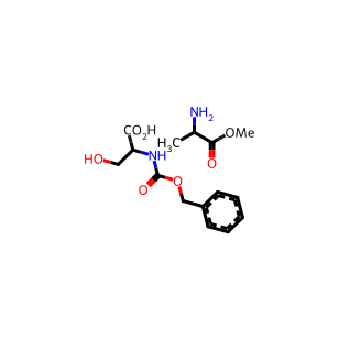 COC(=O)C(C)N.O=C(NC(CO)C(=O)O)OCc1ccccc1